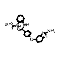 CC(C)(C)OC(=O)Nc1ccccc1NC(=O)c1ccc(Oc2ccc3nc(N)sc3c2)cc1